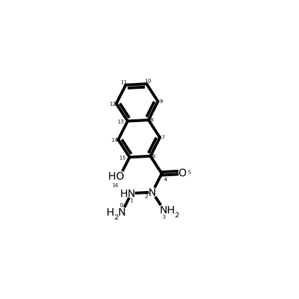 NNN(N)C(=O)c1cc2ccccc2cc1O